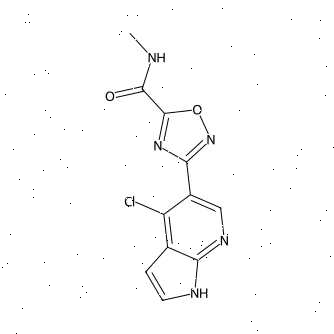 CNC(=O)c1nc(-c2cnc3[nH]ccc3c2Cl)no1